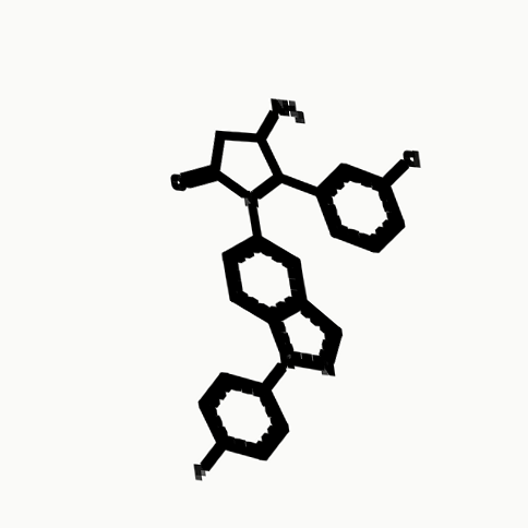 NC1CC(=O)N(c2ccc3c(cnn3-c3ccc(F)cc3)c2)C1c1cccc(Cl)c1